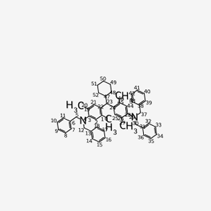 Cc1cc(N(Cc2ccccc2)Cc2ccccc2)c(C)cc1C(c1cc(C)c(N(Cc2ccccc2)Cc2ccccc2)cc1C)C1CCCCC1